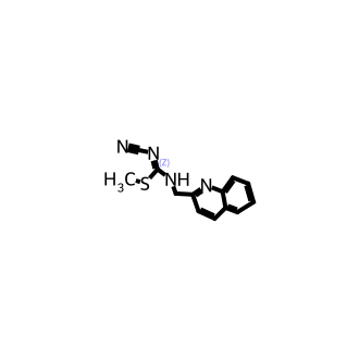 CS/C(=N\C#N)NCc1ccc2ccccc2n1